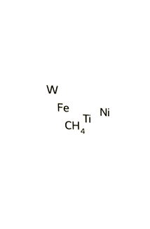 C.[Fe].[Ni].[Ti].[W]